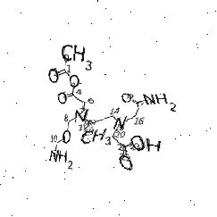 CC(=O)OC(=O)CN(COCN)[C@@H](C)CN(CC(N)=O)CC(=O)O